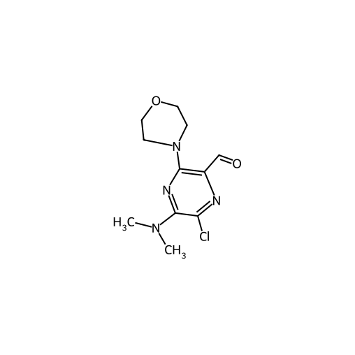 CN(C)c1nc(N2CCOCC2)c(C=O)nc1Cl